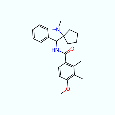 COc1ccc(C(=O)NC(c2ccccc2)C2(N(C)C)CCCC2)c(C)c1C